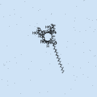 CCC=CCC=CCC=CCC=CCC=CCCCC(=O)NC(CC)N1CC(C)C[C@@](C)(O)[C@H](O[C@@H]2O[C@H](C)C[C@H](N(C)C)[C@H]2O)[C@@H](C)[C@H](O[C@H]2C[C@@](C)(OC)[C@@H](O)[C@H](C)O2)[C@@H](C)C(=O)O[C@H](CC)[C@@](C)(O)[C@H](O)[C@H]1C